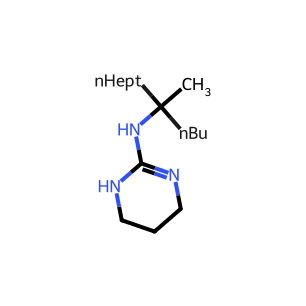 CCCCCCCC(C)(CCCC)NC1=NCCCN1